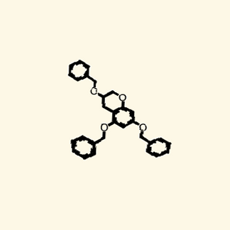 c1ccc(COc2cc(OCc3ccccc3)c3c(c2)OCC(OCc2ccccc2)C3)cc1